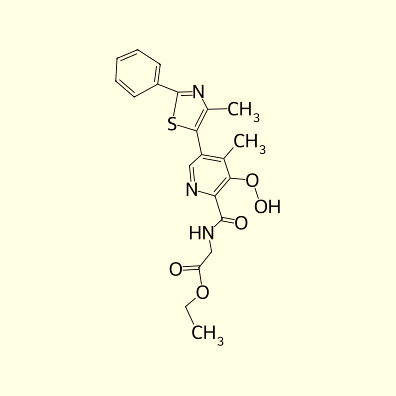 CCOC(=O)CNC(=O)c1ncc(-c2sc(-c3ccccc3)nc2C)c(C)c1OO